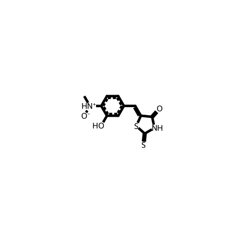 C[NH+]([O-])c1ccc(/C=C2\SC(=S)NC2=O)cc1O